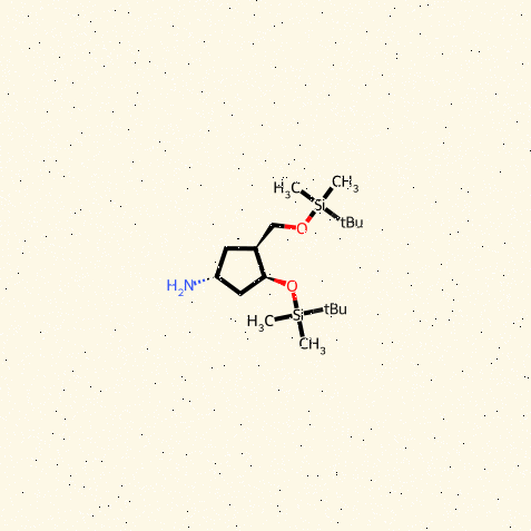 CC(C)(C)[Si](C)(C)OC[C@@H]1C[C@@H](N)C[C@@H]1O[Si](C)(C)C(C)(C)C